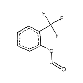 O=[C]Oc1ccccc1C(F)(F)F